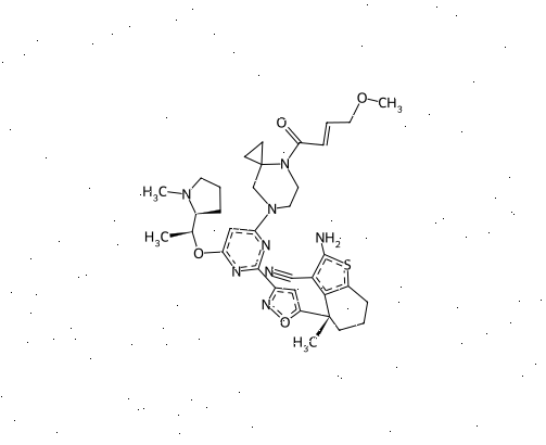 COC/C=C/C(=O)N1CCN(c2cc(O[C@@H](C)[C@@H]3CCCN3C)nc(-c3cc([C@@]4(C)CCCc5sc(N)c(C#N)c54)on3)n2)CC12CC2